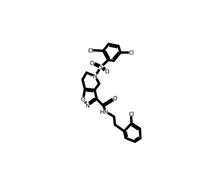 O=C(NCCc1ccccc1Cl)c1noc2c1CN(S(=O)(=O)c1cc(Cl)ccc1Cl)CC2